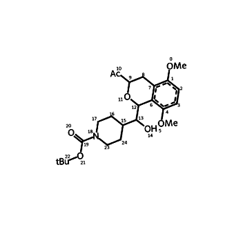 COc1ccc(OC)c2c1CC(C(C)=O)OC2C(O)C1CCN(C(=O)OC(C)(C)C)CC1